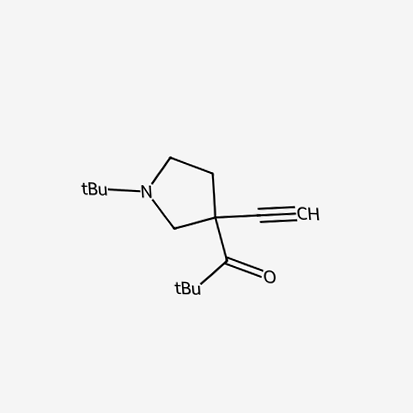 C#CC1(C(=O)C(C)(C)C)CCN(C(C)(C)C)C1